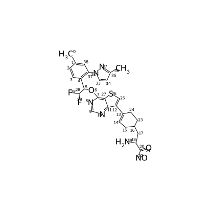 Cc1ccc(C(Oc2ncnc3c(C4=CCC(CC(N)C(=O)N=O)CC4)csc23)C(F)F)c(-n2ccc(C)n2)c1